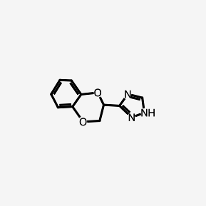 c1ccc2c(c1)OCC(c1nc[nH]n1)O2